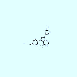 Cc1nc(-c2cc(-c3ccc(CO)cc3)c3c(N)ncnn23)cs1